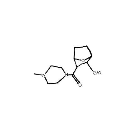 CN1CCN(C(=O)C2C3CCC(O3)C2C=O)CC1